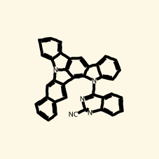 N#Cc1nc(-n2c3ccccc3c3cc4c5ccccc5n5c6cc7ccccc7cc6c(c32)c45)c2ccccc2n1